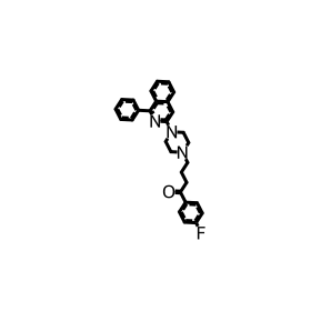 O=C(CCCN1CCN(c2cc3ccccc3c(-c3ccccc3)n2)CC1)c1ccc(F)cc1